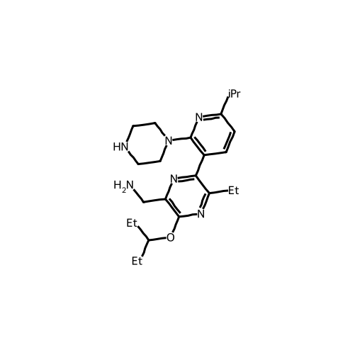 CCc1nc(OC(CC)CC)c(CN)nc1-c1ccc(C(C)C)nc1N1CCNCC1